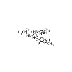 Cc1cc(Nc2cc(NCCN(C)C)nc(Oc3ccc4[nH]c(C)cc4c3F)n2)n[nH]1